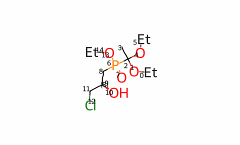 CCOC(C)(OCC)P(=O)(C[C@@H](O)CCl)OCC